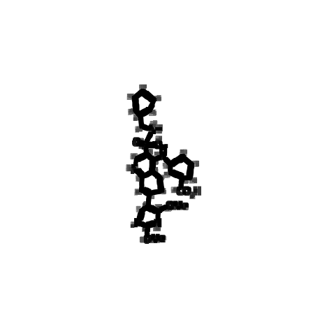 COc1ncc(-c2ccc3c(Nc4cccc(C(=O)O)c4)c(S(=O)(=O)NCc4ccccc4)cnc3c2)c(OC)n1